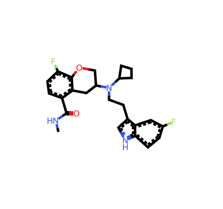 CNC(=O)c1ccc(F)c2c1CC(N(CCc1c[nH]c3ccc(F)cc13)C1CCC1)CO2